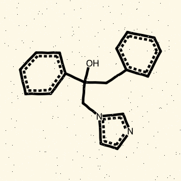 OC(Cc1ccccc1)(Cn1ccnc1)c1ccccc1